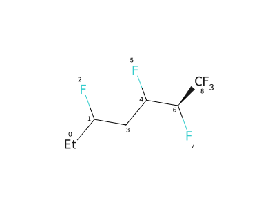 [CH2]CC(F)CC(F)[C@H](F)C(F)(F)F